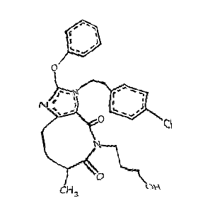 CC1CCc2nc(Oc3ccccc3)n(Cc3ccc(Cl)cc3)c2C(=O)N(CCCO)C1=O